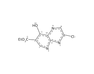 CCOC(=O)c1cnc2nc(Cl)cnc2c1O